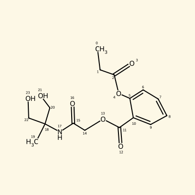 CCC(=O)Oc1ccccc1C(=O)OCC(=O)NC(C)(CO)CO